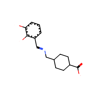 O=C(O)C1CCC(CN=Cc2cccc(O)c2O)CC1